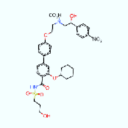 O=C(NS(=O)(=O)CCCO)c1ccc(-c2ccc(OCCN(C[C@@H](O)c3ccc([N+](=O)[O-])cc3)C(=O)O)cc2)cc1OC1CCCCC1